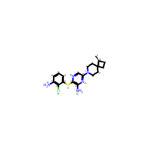 C[C@H]1CCC12CCN(c1cnc(Sc3cccc(N)c3Cl)c(N)n1)CC2